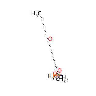 CCCCCCCCCCCCCCCC(=O)CCCCCCCCCCCCCCCCCC(=O)C(C[N+](C)(C)C)O[PH-]